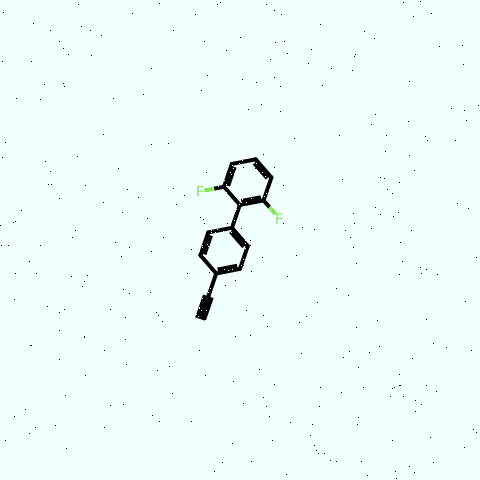 C#Cc1ccc(-c2c(F)cccc2F)cc1